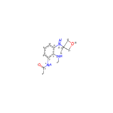 CNc1c(NC(C)=O)cccc1NC1(C)COC1